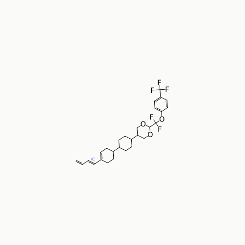 C=C/C=C/C1=CCC(C2CCC(C3COC(C(F)(F)Oc4ccc(C(F)(F)F)cc4)OC3)CC2)CC1